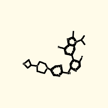 Cc1nc2c(F)cc(-c3cc(Nc4ncc(N5CCN(C6COC6)CC5)cn4)ncc3F)cc2n1C(C)C